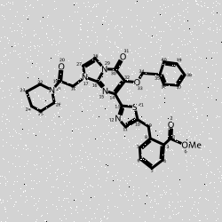 COC(=O)c1ccccc1Cc1cnc(-c2nc3n(CC(=O)N4CCCCC4)ccn3c(=O)c2OCc2ccccc2)s1